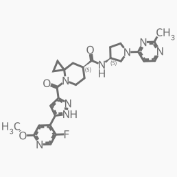 COc1cc(-c2cc(C(=O)N3CC[C@H](C(=O)N[C@H]4CCN(c5ccnc(C)n5)C4)CC34CC4)n[nH]2)c(F)cn1